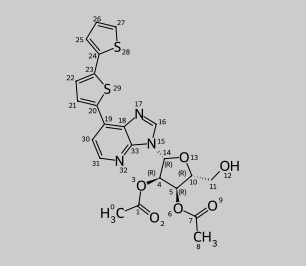 CC(=O)O[C@@H]1[C@H](OC(C)=O)[C@@H](CO)O[C@H]1n1cnc2c(-c3ccc(-c4cccs4)s3)ccnc21